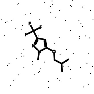 CC(C)COc1cc(C(F)(F)F)nn1C